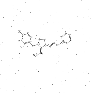 O=[N+]([O-])N=C1N(C=COc2ccccc2)CCN1Cc1ccc(Cl)nc1